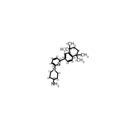 CC1(C)CCC(C)(C)c2cc(-c3cccc(N4CCC(N)CC4)n3)ccc21